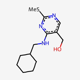 CSc1ncc(CO)c(NCC2CCCCC2)n1